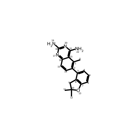 Cc1c(-c2cccc3c2CC(C)(C)O3)ccc2nc(N)nc(N)c12